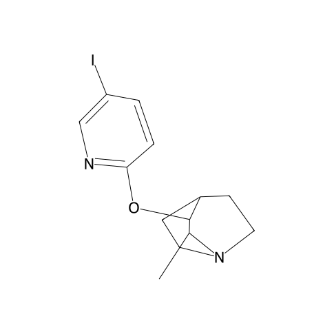 CC1C(Oc2ccc(I)cn2)C2CCN1CC2